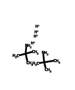 CC(C)(C)N.CC(C)(C)N.[H+].[H+].[H+].[H+]